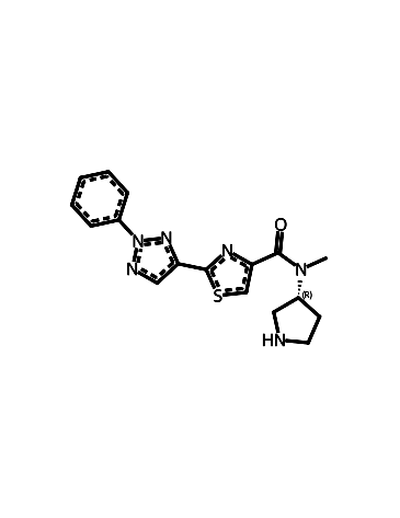 CN(C(=O)c1csc(-c2cnn(-c3ccccc3)n2)n1)[C@@H]1CCNC1